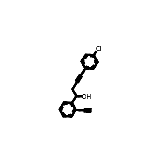 C#Cc1ccccc1C(O)CC#Cc1ccc(Cl)cc1